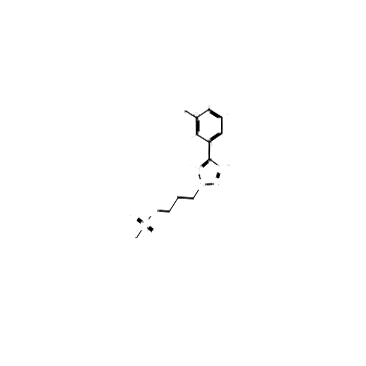 CS(=O)(=O)OCCCn1nnc(-c2cccc(I)c2)n1